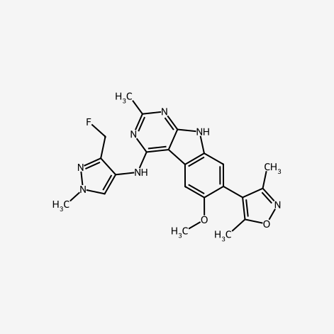 COc1cc2c(cc1-c1c(C)noc1C)[nH]c1nc(C)nc(Nc3cn(C)nc3CF)c12